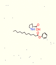 CCCCCCCCCCCC(=O)Oc1ccccc1.O=C(O)[C@@H]1CCCN1